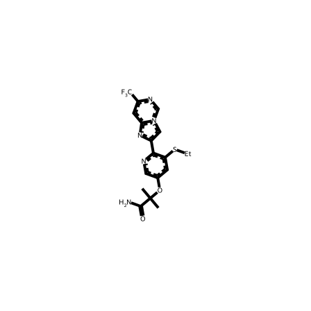 CCSc1cc(OC(C)(C)C(N)=O)cnc1-c1cn2cnc(C(F)(F)F)cc2n1